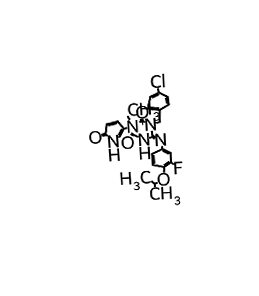 CC[N+]1(c2ccc(=O)[nH]c2)C(=O)NC(=Nc2ccc(OC(C)C)c(F)c2)N(Cc2ccc(Cl)cc2)C1=O